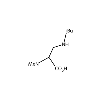 CCC(C)NCC(NC)C(=O)O